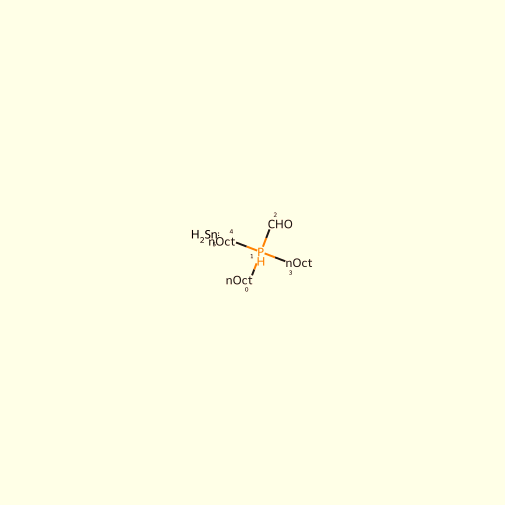 CCCCCCCC[PH](C=O)(CCCCCCCC)CCCCCCCC.[SnH2]